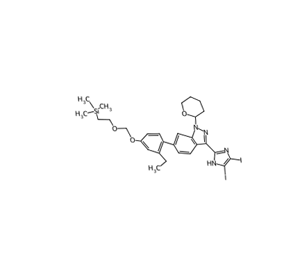 CCc1cc(OCOCC[Si](C)(C)C)ccc1-c1ccc2c(-c3nc(I)c(I)[nH]3)nn(C3CCCCO3)c2c1